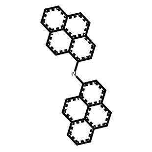 c1cc2ccc3ccc([N]c4ccc5ccc6cccc7ccc4c5c67)c4ccc(c1)c2c34